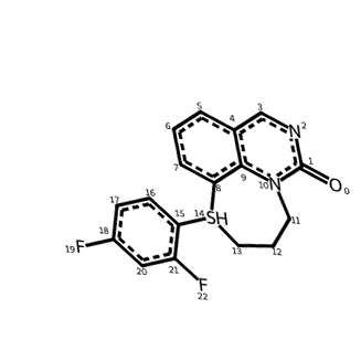 O=c1ncc2cccc3c2n1CCC[SH]3c1ccc(F)cc1F